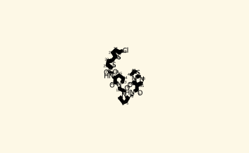 O=C(NC[C@@H]1CCCN1C(=O)CN1CCCC(NS(=O)(=O)c2ccc(-c3ccc(Cl)s3)s2)C1=O)c1cnc2n(c1=O)CCS2